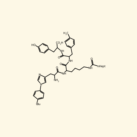 CCCCCCCC(=O)NCCCCC(NC(=O)C(N)Cc1cn(-c2ccc(C(C)(C)C)cc2)cn1)C(=O)NC(Cc1ccc(C)cc1)C(=O)NC(Cc1ccc(O)cc1)C(=O)O